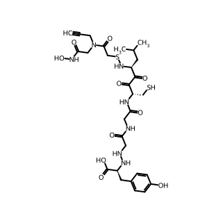 C#CCN(CC(=O)NO)C(=O)CSN[C@@H](CC(C)C)C(=O)C(=O)[C@H](CS)NC(=O)CNC(=O)CNN[C@@H](Cc1ccc(O)cc1)C(=O)O